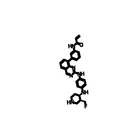 C=CC(=O)Nc1cccc(-c2cccc3cnc(Nc4ccc(N[C@@H]5CCNC[C@@H]5CF)cc4)nc23)c1